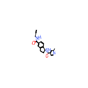 C#CCNC(=O)c1ccc2c(c1)CCC2NC(=O)c1ccnc(C)c1